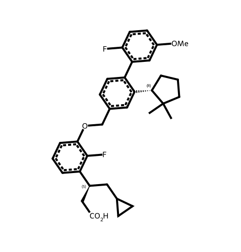 COc1ccc(F)c(-c2ccc(COc3cccc([C@H](CC(=O)O)CC4CC4)c3F)cc2[C@@H]2CCCC2(C)C)c1